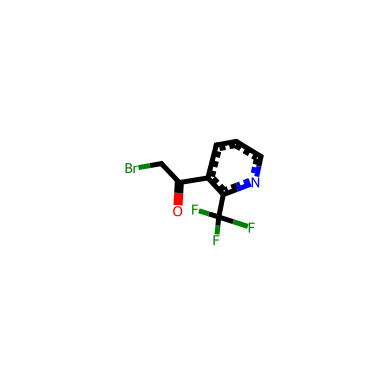 O=C(CBr)c1cccnc1C(F)(F)F